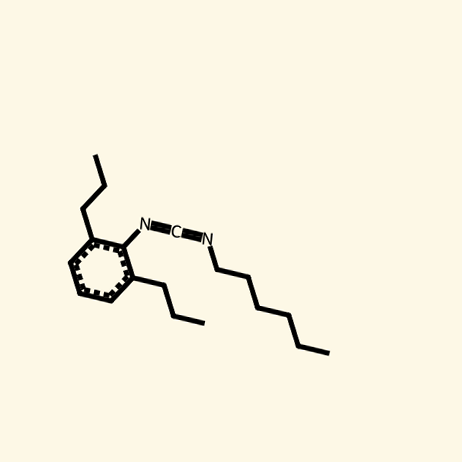 CCCCCCN=C=Nc1c(CCC)cccc1CCC